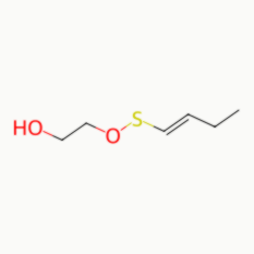 CCC=CSOCCO